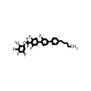 [2H]c1c(OC(F)(F)c2c(F)cc(-c3ccc(-c4ccc(CCCCC)cc4)cc3F)cc2F)cc(F)c(F)c1F